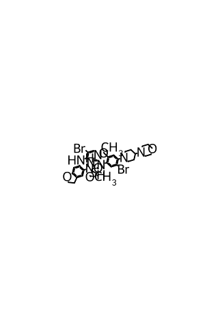 COc1cc(N2CCC(N3CCOCC3)CC2)c(Br)cc1Nc1ncc(Br)c(Nc2cc3c(cc2NS(C)(=O)=O)CCO3)n1